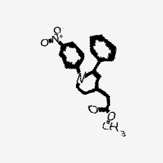 COC(=O)CC1CCN(c2ccc([N+](=O)[O-])cc2)C(c2ccccc2)C1